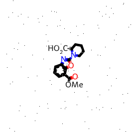 COC(=O)c1cccc2nc(N3CCCC[C@H]3C(=O)O)oc12